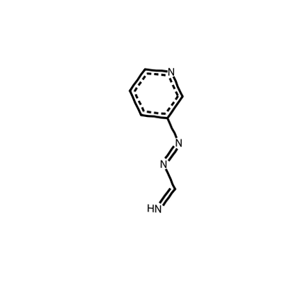 N=CN=Nc1cccnc1